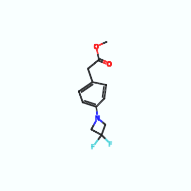 COC(=O)Cc1ccc(N2CC(F)(F)C2)cc1